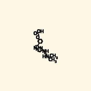 CC(C)NCCNc1ccn2ncc(-c3cccc(OCC(=O)O)c3)c2n1